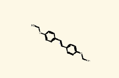 OCOc1ccc(/C=C/c2ccc(OCO)cc2)cc1